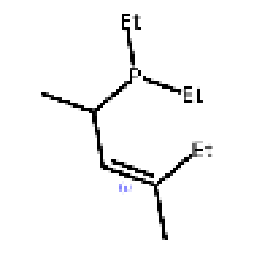 CC/C(C)=C\C(C)P(CC)CC